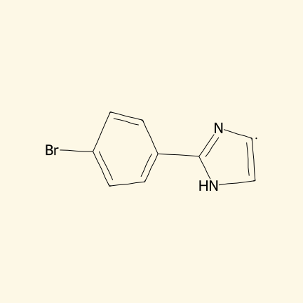 Brc1ccc(-c2n[c]c[nH]2)cc1